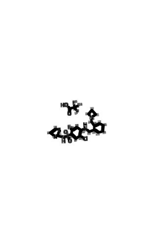 O=C(O)C(F)(F)F.O=S(=O)(Nc1nccs1)c1cc(Cl)c(NCc2ccccc2CN2CCC2)cc1F